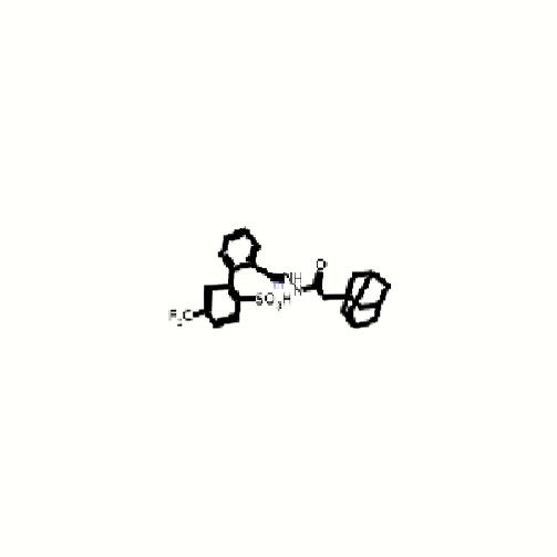 O=C(CC12CC3CC(CC(C3)C1)C2)N/N=C/c1ccccc1-c1cc(C(F)(F)F)ccc1S(=O)(=O)O